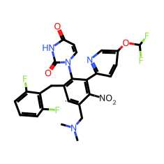 CN(C)Cc1[c]c(Cc2c(F)cccc2F)c(-n2ccc(=O)[nH]c2=O)c(-c2ccc(OC(F)F)cn2)c1[N+](=O)[O-]